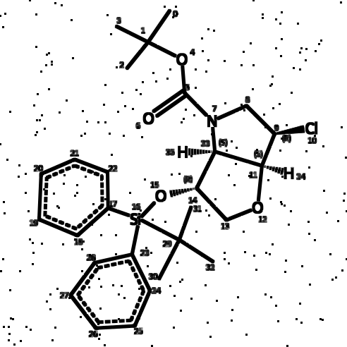 CC(C)(C)OC(=O)N1C[C@@H](Cl)[C@H]2OC[C@H](O[Si](c3ccccc3)(c3ccccc3)C(C)(C)C)[C@H]21